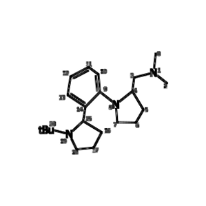 CN(C)CC1CCCN1c1ccccc1C1CCCN1C(C)(C)C